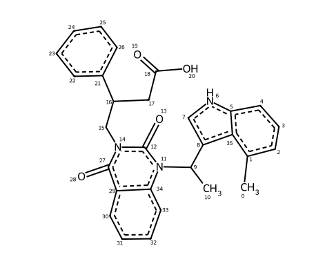 Cc1cccc2[nH]cc(C(C)n3c(=O)n(CC(CC(=O)O)c4ccccc4)c(=O)c4ccccc43)c12